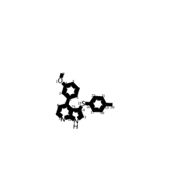 COc1cccc(-c2ccnc3[nH]cc(Sc4ccc(C)cc4)c23)c1